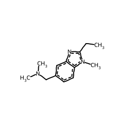 CCc1nc2cc(CN(C)C)ccc2n1C